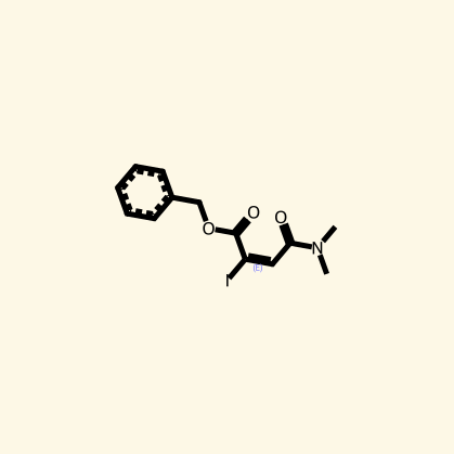 CN(C)C(=O)/C=C(/I)C(=O)OCc1ccccc1